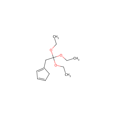 CCOC(CC1=CC=CC1)(OCC)OCC